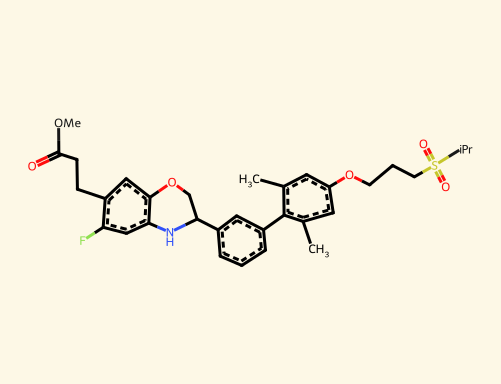 COC(=O)CCc1cc2c(cc1F)NC(c1cccc(-c3c(C)cc(OCCCS(=O)(=O)C(C)C)cc3C)c1)CO2